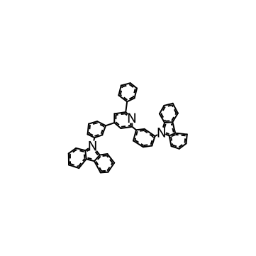 c1ccc(-c2cc(-c3cccc(-n4c5ccccc5c5ccccc54)c3)cc(-c3cccc(-n4c5ccccc5c5ccccc54)c3)n2)cc1